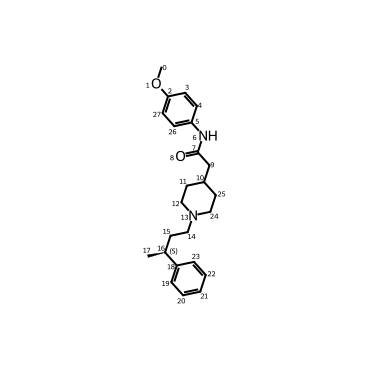 COc1ccc(NC(=O)CC2CCN(CC[C@H](C)c3ccccc3)CC2)cc1